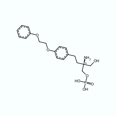 N[C@](CO)(CCc1ccc(OCCOc2ccccc2)cc1)COP(=O)(O)O